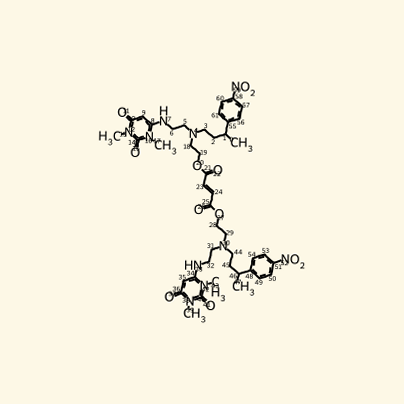 CC(CCN(CCNc1cc(=O)n(C)c(=O)n1C)CCOC(=O)/C=C/C(=O)OCCN(CCNc1cc(=O)n(C)c(=O)n1C)CCC(C)c1ccc([N+](=O)[O-])cc1)c1ccc([N+](=O)[O-])cc1